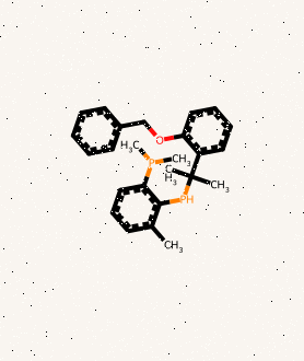 Cc1cccc(P(C)C)c1PC(C)(C)c1ccccc1OCc1ccccc1